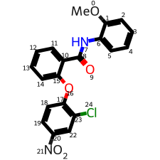 COc1ccccc1NC(=O)c1ccccc1Oc1ccc([N+](=O)[O-])cc1Cl